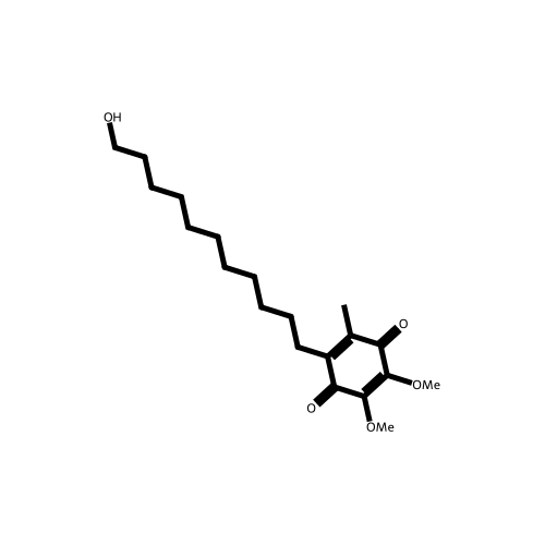 COC1=C(OC)C(=O)C(CCCCCCCCCCCO)=C(C)C1=O